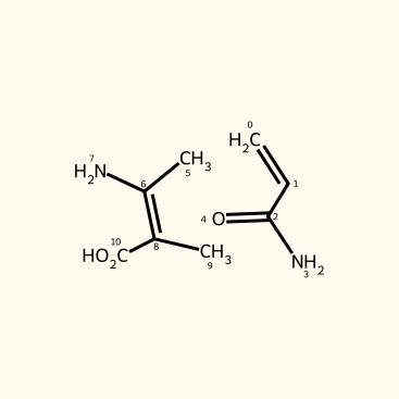 C=CC(N)=O.CC(N)=C(C)C(=O)O